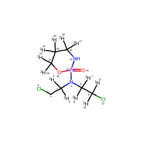 [2H]C([2H])(CCl)N(C([2H])([2H])C([2H])([2H])Cl)P1(=O)NC([2H])([2H])C([2H])([2H])C([2H])([2H])O1